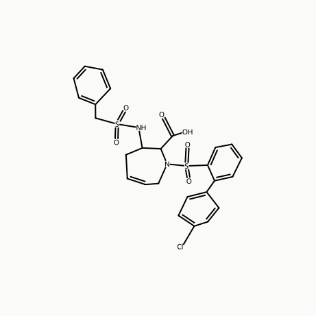 O=C(O)C1C(NS(=O)(=O)Cc2ccccc2)CC=CCN1S(=O)(=O)c1ccccc1-c1ccc(Cl)cc1